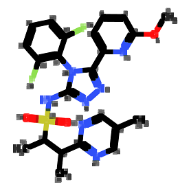 COc1cccc(-c2nnc(NS(=O)(=O)C(C)C(C)c3ncc(C)cn3)n2-c2c(F)cccc2F)n1